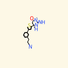 CN1C(=N)N[C@](C)(c2cc(-c3cccc(CCC#N)c3)cs2)CC1=O